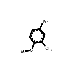 CCOc1ccc([C](C)C)cc1C